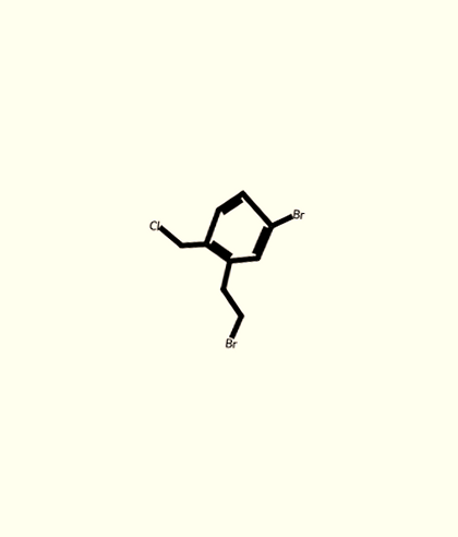 ClCc1ccc(Br)cc1CCBr